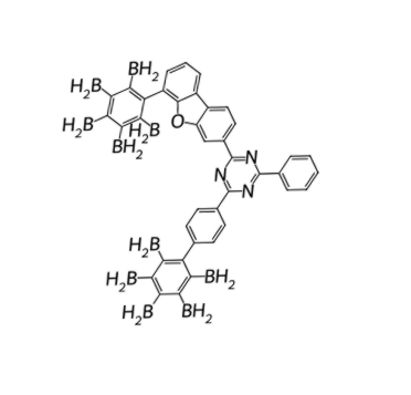 Bc1c(B)c(B)c(-c2ccc(-c3nc(-c4ccccc4)nc(-c4ccc5c(c4)oc4c(-c6c(B)c(B)c(B)c(B)c6B)cccc45)n3)cc2)c(B)c1B